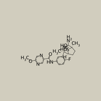 COc1cnc(C(=O)Nc2ccc(F)c([C@@]3(C)N=C(N)[C@@]4(C)CC[C@@H]3S4(O)O)c2)cn1